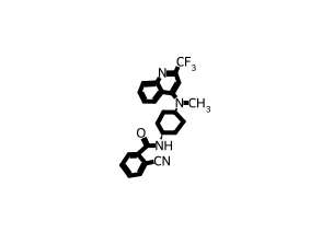 CN(c1cc(C(F)(F)F)nc2ccccc12)[C@H]1CC[C@@H](NC(=O)c2ccccc2C#N)CC1